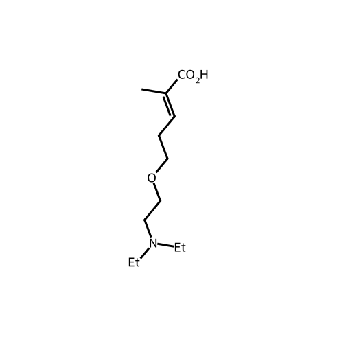 CCN(CC)CCOCCC=C(C)C(=O)O